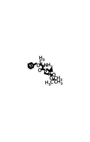 C[C@@H](OCC12CCC(CC1)OC2)[C@H](N)C(=O)N1CCN(C(=O)OC(C)(C)C)C2(CC2)C1